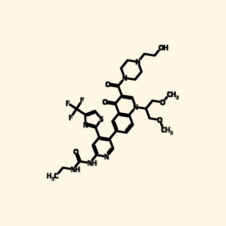 CCNC(=O)Nc1cc(-c2nc(C(F)(F)F)cs2)c(-c2ccc3c(c2)c(=O)c(C(=O)N2CCN(CCO)CC2)cn3C(COC)COC)cn1